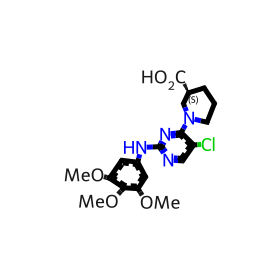 COc1cc(Nc2ncc(Cl)c(N3CCC[C@H](C(=O)O)C3)n2)cc(OC)c1OC